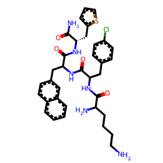 NCCCCC(N)C(=O)NC(Cc1ccc(Cl)cc1)C(=O)NC(Cc1ccc2ccccc2c1)C(=O)N[C@@H](Cc1cccs1)C(N)=O